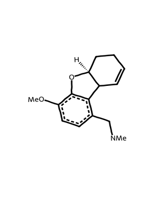 CNCc1ccc(OC)c2c1C1C=CCC[C@@H]1O2